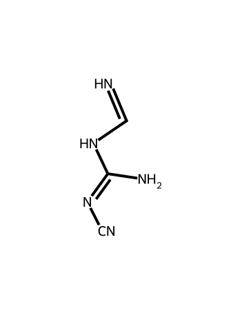 N#C/N=C(\N)NC=N